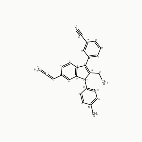 C=C=Cc1ccc2c(-c3cccc(C#N)c3)c(CC)n(-c3ccc(C)cn3)c2c1